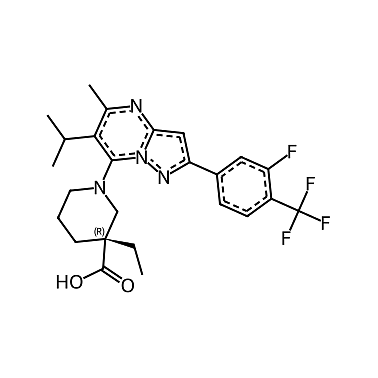 CC[C@@]1(C(=O)O)CCCN(c2c(C(C)C)c(C)nc3cc(-c4ccc(C(F)(F)F)c(F)c4)nn23)C1